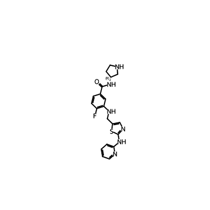 O=C(N[C@@H]1CCNC1)c1ccc(F)c(NCc2cnc(Nc3ccccn3)s2)c1